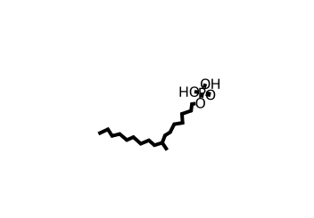 CCCCCCCCCC(C)CCCCCCCOP(=O)(O)O